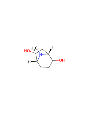 CN1[C@@H]2CCC(O)[C@H]1CC2O